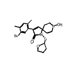 Cc1cc(C)c(C2=CC3(CCN(O)CC3)N(OC3CCCO3)C2=O)cc1Br